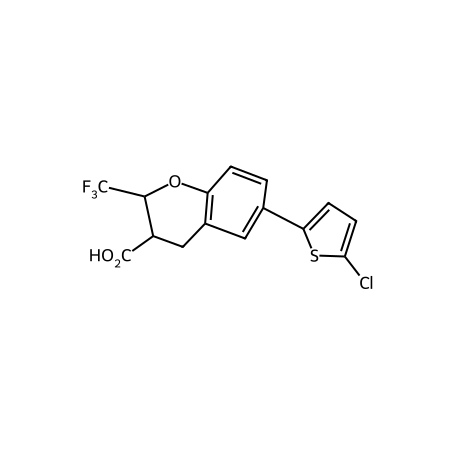 O=C(O)C1Cc2cc(-c3ccc(Cl)s3)ccc2OC1C(F)(F)F